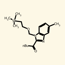 CCCCC(=O)c1nc2cc(C)ccc2n1COCC[Si](C)(C)C